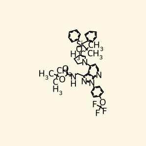 CC(C)(C)OC(=O)NCc1nn(-c2ccc(OC(F)(F)F)cc2)c2nccc(N3CC[C@@H](O[Si](c4ccccc4)(c4ccccc4)C(C)(C)C)C3)c12